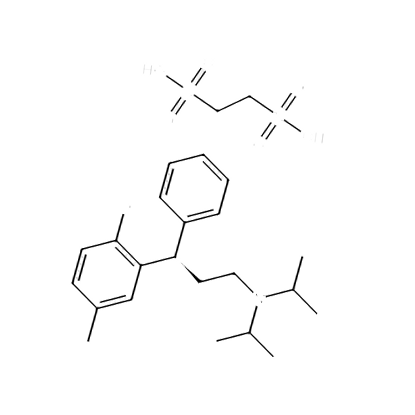 Cc1ccc(O)c([C@H](CCN(C(C)C)C(C)C)c2ccccc2)c1.O=S(=O)(O)CCS(=O)(=O)O